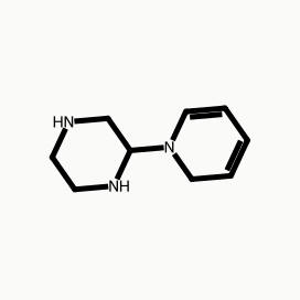 C1=CCN(C2CNCCN2)C=C1